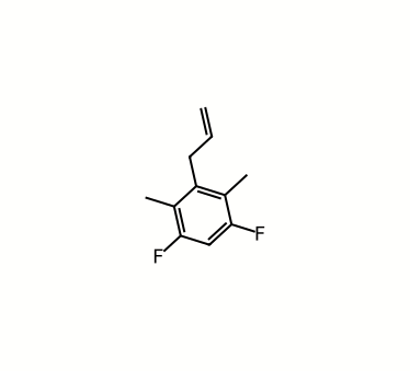 C=CCc1c(C)c(F)cc(F)c1C